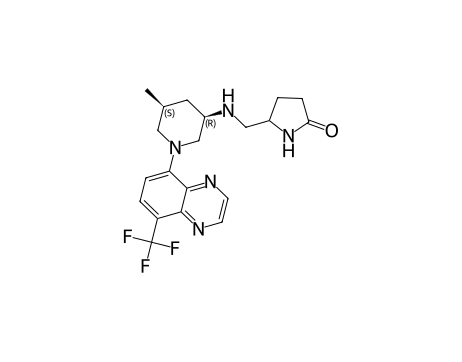 C[C@H]1C[C@@H](NCC2CCC(=O)N2)CN(c2ccc(C(F)(F)F)c3nccnc23)C1